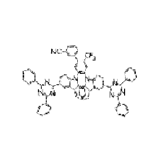 N#Cc1cccc(-c2cc(-n3c4ccccc4c4cc(-c5nc(-c6ccccc6)nc(-c6ccccc6)n5)ccc43)c(-n3c4ccccc4c4cc(-c5nc(-c6ccccc6)nc(-c6ccccc6)n5)ccc43)cc2C(F)(F)F)c1